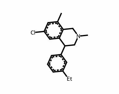 CCc1cccc(C2CN(C)Cc3c(C)cc(Cl)cc32)c1